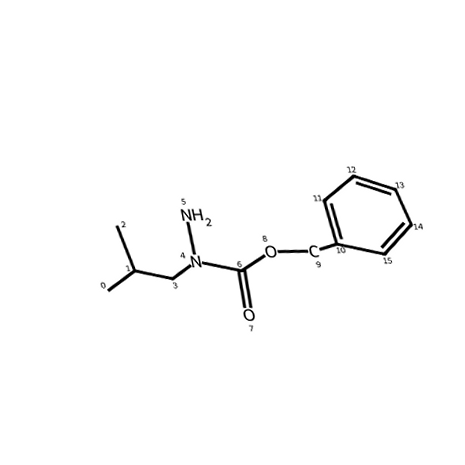 CC(C)CN(N)C(=O)OCc1ccccc1